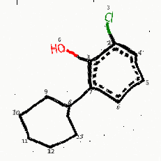 Oc1c(Cl)cccc1C1CCCCC1